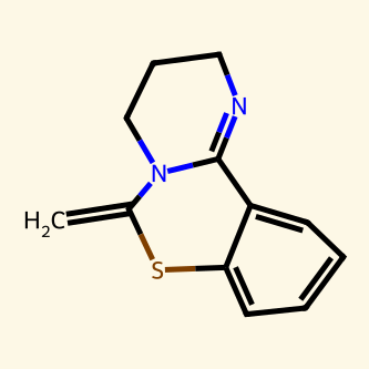 C=C1Sc2ccccc2C2=NCCCN12